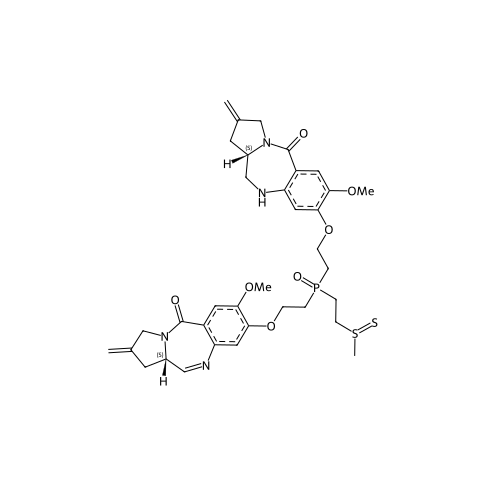 C=C1C[C@H]2CNc3cc(OCCP(=O)(CCOc4cc5c(cc4OC)C(=O)N4CC(=C)C[C@H]4C=N5)CCS(C)=S)c(OC)cc3C(=O)N2C1